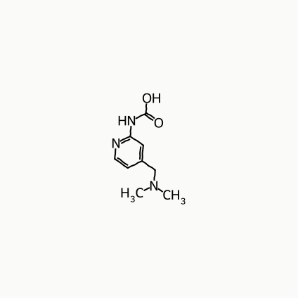 CN(C)Cc1ccnc(NC(=O)O)c1